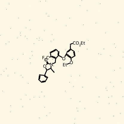 CCOC(=O)Cc1ccc(OCC)c(Oc2cccc(C(F)(F)F)c2CN2C(=O)OC(c3ccccc3)C2C)c1